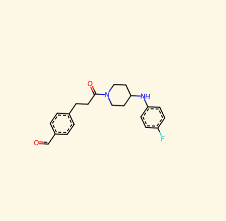 O=Cc1ccc(CCC(=O)N2CCC(Nc3ccc(F)cc3)CC2)cc1